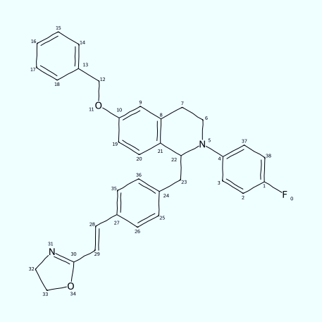 Fc1ccc(N2CCc3cc(OCc4ccccc4)ccc3C2Cc2ccc(C=CC3=NCCO3)cc2)cc1